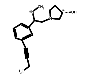 CCC#Cc1cccc(C(CN2CC[C@H](O)C2)NC)c1